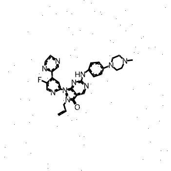 C=CCn1c(=O)c2cnc(Nc3ccc(N4CCN(C)CC4)cc3)nc2n1-c1cc(-c2cnccn2)c(F)cn1